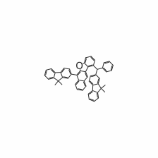 CC1(C)c2ccccc2-c2ccc(-c3c4ccccc4cc4c3oc3cccc(C(c5ccccc5)c5ccc6c(c5)C(C)(C)c5ccccc5-6)c34)cc21